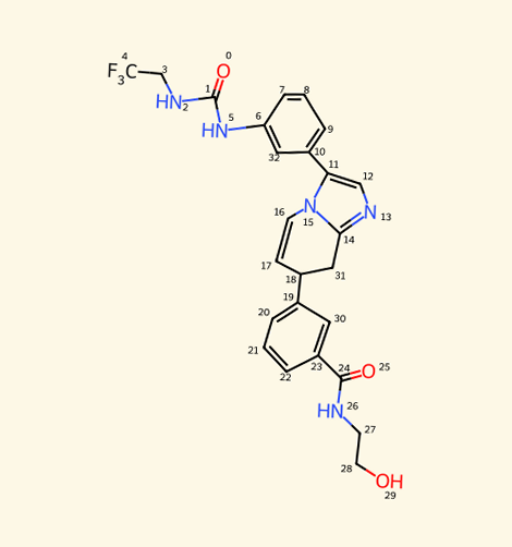 O=C(NCC(F)(F)F)Nc1cccc(-c2cnc3n2C=CC(c2cccc(C(=O)NCCO)c2)C3)c1